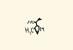 C[C@H]1CNCC1C(O)C1CC1